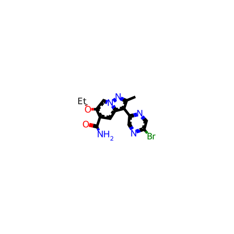 CCOc1cn2nc(C)c(-c3cnc(Br)cn3)c2cc1C(N)=O